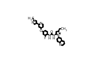 CCc1cc(NC(=O)Nc2ccc(Oc3ccnc(-c4cnn(C)c4)c3)cc2F)n(-c2ccc3ncccc3c2)n1